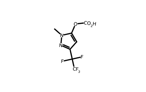 Cn1nc(C(F)(F)C(F)(F)F)cc1OC(=O)O